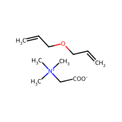 C=CCOCC=C.C[N+](C)(C)CC(=O)[O-]